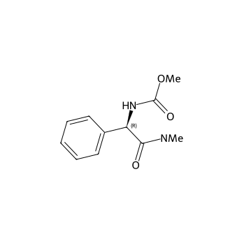 CNC(=O)[C@H](NC(=O)OC)c1ccccc1